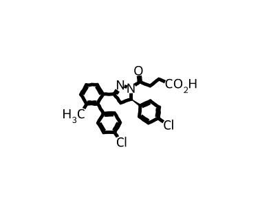 Cc1cccc(C2=NN(C(=O)CCC(=O)O)[C@@H](c3ccc(Cl)cc3)C2)c1-c1ccc(Cl)cc1